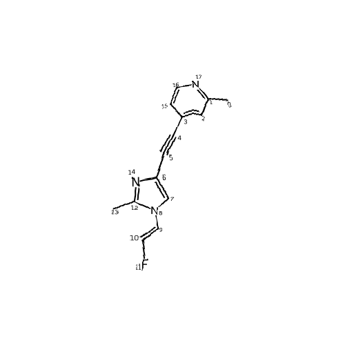 Cc1cc(C#Cc2cn(C=CF)c(C)n2)ccn1